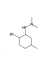 CC1CCC(C(C)C)C(PN(C)C)C1